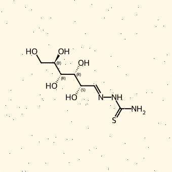 NC(=S)NN=C[C@H](O)[C@@H](O)[C@H](O)[C@H](O)CO